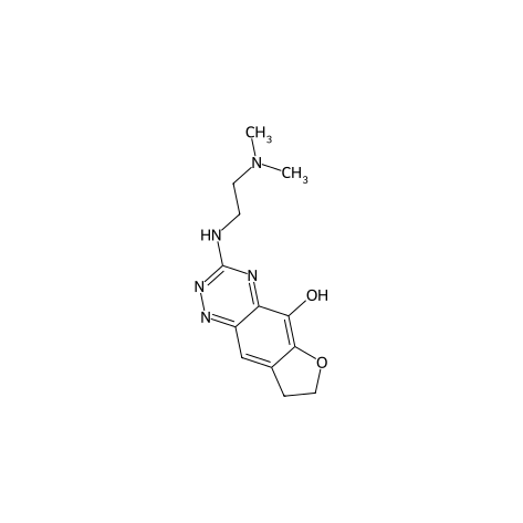 CN(C)CCNc1nnc2cc3c(c(O)c2n1)OCC3